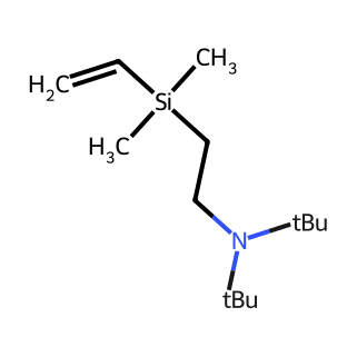 C=C[Si](C)(C)CCN(C(C)(C)C)C(C)(C)C